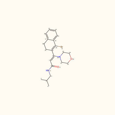 CC(C)CNC(=O)C=C(C1=C(Br)c2ccccc2CC1)N1CCOCC1